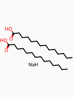 CCCCCCCCCCCCCC(=O)O.CCCCCCCCCCCCCC(=O)O.[NaH]